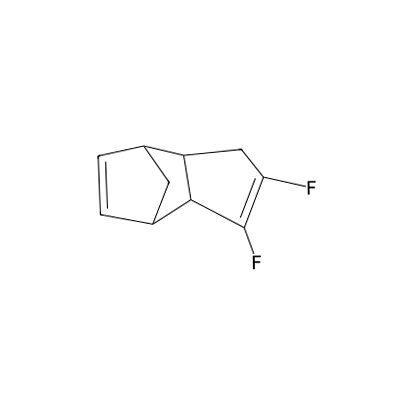 FC1=C(F)C2C3C=CC(C3)C2C1